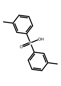 Cc1cccc(P(=O)(O)c2cccc(C)c2)c1